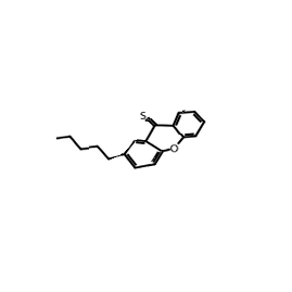 CCCCCc1ccc2oc3ccccc3c(=S)c2c1